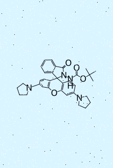 CC(C)(C)OC(=O)NN1C(=O)c2ccccc2C12c1ccc(N3CCCC3)cc1Oc1cc(N3CCCC3)ccc12